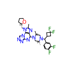 Cc1nc2c(N3C[C@@H](C)N(C(c4ccc(F)c(F)c4)C4CC(F)(F)C4)C[C@@H]3C)nc3nncn3c2n1C[C@@H]1CCCO1